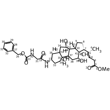 COC(=O)CC[C@@H](C)[C@H]1CC[C@H]2[C@@H]3[C@H](O)C[C@@H]4C[C@@H](NC(=O)CNC(=O)OCc5ccccc5)CC[C@]4(C)[C@H]3C[C@H](O)[C@]12C